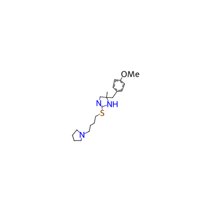 COc1ccc(CC2(C)CN=C(SCCCCN3CCCC3)N2)cc1